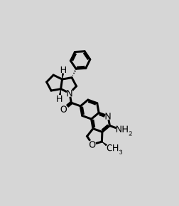 C[C@H]1OCc2c1c(N)nc1ccc(C(=O)N3C[C@@H](c4ccccc4)[C@H]4CCC[C@H]43)cc21